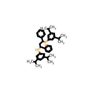 CC(C)c1cc(PC(CC(Pc2cc(C(C)C)cc(C(C)C)c2)c2ccccc2)c2ccccc2)cc(C(C)C)c1